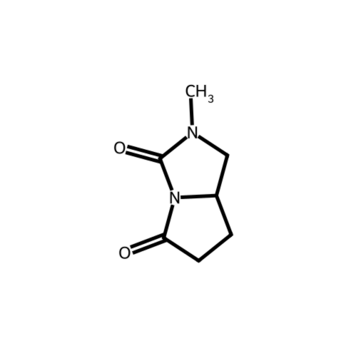 CN1CC2CCC(=O)N2C1=O